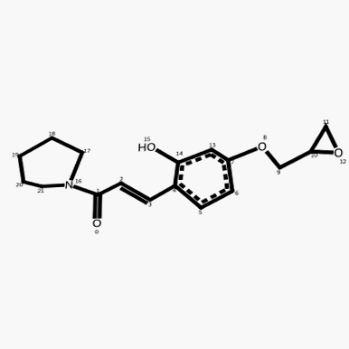 O=C(C=Cc1ccc(OCC2CO2)cc1O)N1CCCCC1